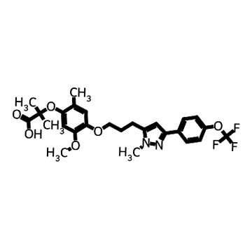 COc1cc(OC(C)(C)C(=O)O)c(C)cc1OCCCc1cc(-c2ccc(OC(F)(F)F)cc2)nn1C